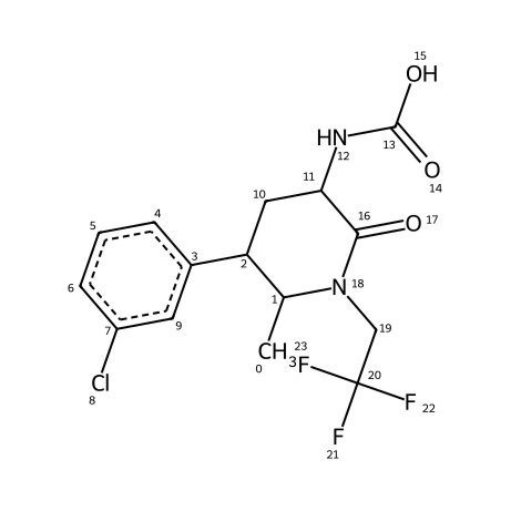 CC1C(c2cccc(Cl)c2)CC(NC(=O)O)C(=O)N1CC(F)(F)F